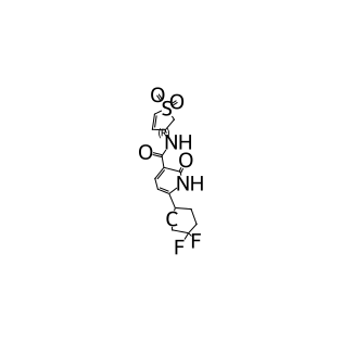 O=C(N[C@@H]1C=CS(=O)(=O)C1)c1ccc(C2CCC(F)(F)CC2)[nH]c1=O